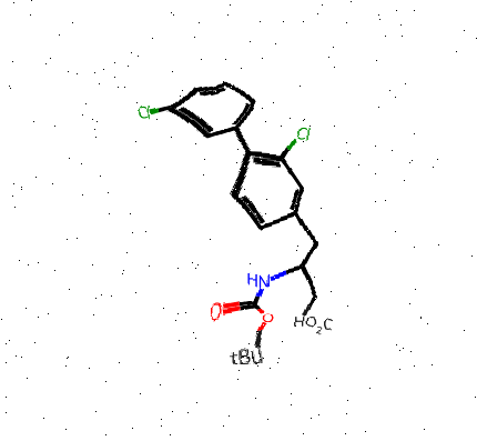 CC(C)(C)OC(=O)NC(CC(=O)O)Cc1ccc(-c2cccc(Cl)c2)c(Cl)c1